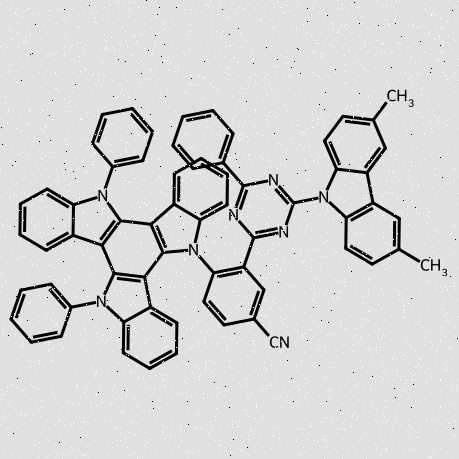 Cc1ccc2c(c1)c1cc(C)ccc1n2-c1nc(-c2ccccc2)nc(-c2cc(C#N)ccc2-n2c3ccccc3c3c4c(c5ccccc5n4-c4ccccc4)c4c(c5ccccc5n4-c4ccccc4)c32)n1